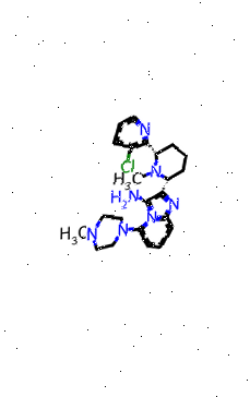 CN1CCN(c2cccc3nc([C@H]4CCC[C@@H](c5ncccc5Cl)N4C)c(N)n23)CC1